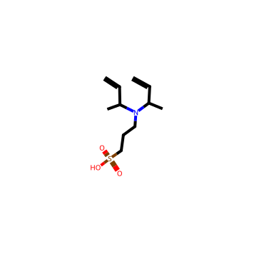 C=CC(C)N(CCCS(=O)(=O)O)C(C)C=C